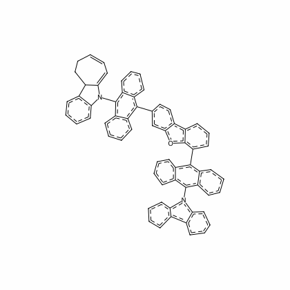 C1=CCCC2C(=C1)N(c1c3ccccc3c(-c3ccc4c(c3)oc3c(-c5c6ccccc6c(-n6c7ccccc7c7ccccc76)c6ccccc56)cccc34)c3ccccc13)c1ccccc12